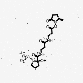 C=C1CCC(=O)N1OC(=O)CC[15NH]C(=O)CC[15NH]C(=O)C1(O)CCCN1[13CH2][13CH]([13CH3])[13CH3]